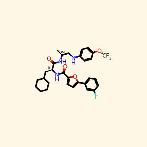 C[C@@H](CNc1ccc(OC(F)(F)F)cc1)NC(=O)[C@H](CC1CCCCC1)NC(=O)c1ccc(-c2cccc(F)c2)o1